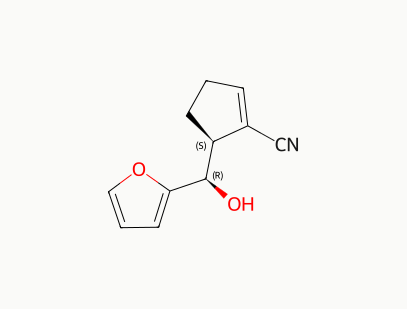 N#CC1=CCC[C@@H]1[C@@H](O)c1ccco1